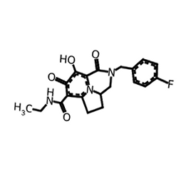 CCNC(=O)c1c2n3c(c(O)c1=O)C(=O)N(Cc1ccc(F)cc1)CC3CC2